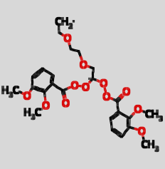 [CH2]COCCOC[C](OOC(=O)c1cccc(OC)c1OC)OOC(=O)c1cccc(OC)c1OC